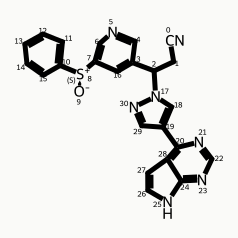 N#CCC(c1cncc([S@+]([O-])c2ccccc2)c1)n1cc(-c2ncnc3[nH]ccc23)cn1